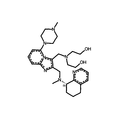 CN1CCN(c2cccc3nc(CN(C)[C@H]4CCCc5cccnc54)c(CN(CCO)CCO)n23)CC1